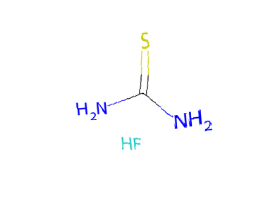 F.NC(N)=S